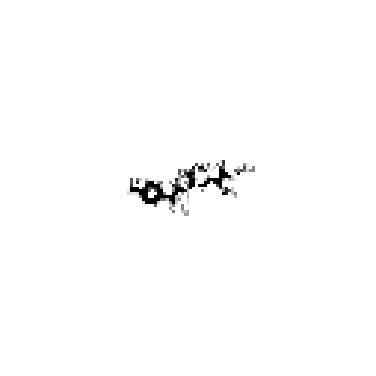 COC(=O)[C@H](CCC(N)C(=O)OC(C)(C)C)NC(=O)C(C)c1ccc(CC(C)C)cc1